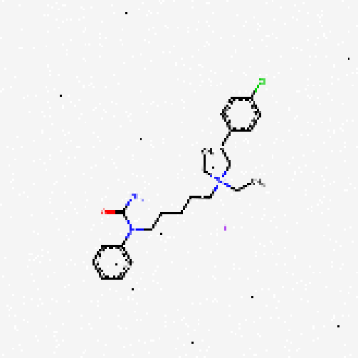 CC[N+](CC)(CCCCCN(C(N)=O)c1ccccc1)CCc1ccc(Cl)cc1.[I-]